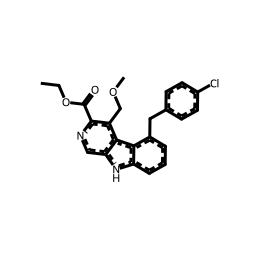 CCOC(=O)c1ncc2[nH]c3cccc(Cc4ccc(Cl)cc4)c3c2c1COC